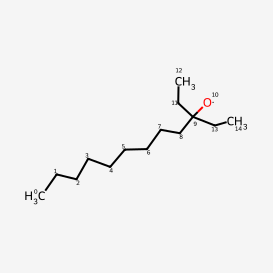 CCCCCCCCCC([O])(CC)CC